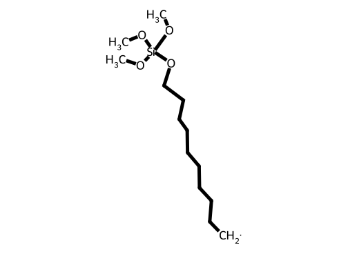 [CH2]CCCCCCCCCO[Si](OC)(OC)OC